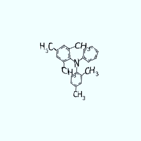 Cc1ccc(N(c2ccccc2)c2c(C)cc(C)cc2C)c(C)c1